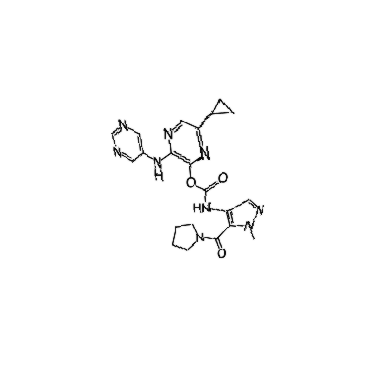 Cn1ncc(NC(=O)Oc2nc(C3CC3)cnc2Nc2cncnc2)c1C(=O)N1CCCC1